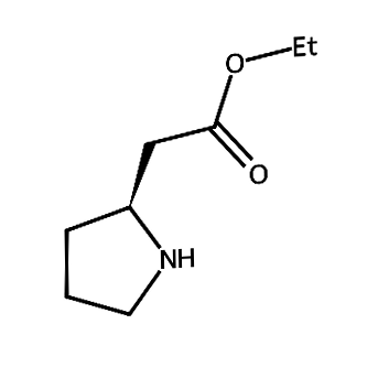 CCOC(=O)C[C@@H]1CCCN1